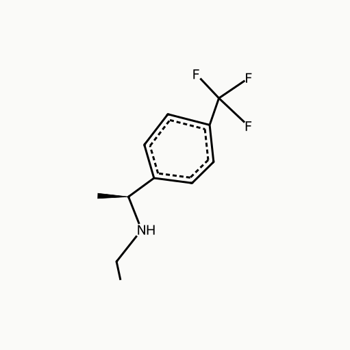 CCN[C@@H](C)c1ccc(C(F)(F)F)cc1